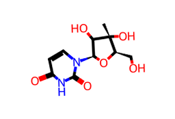 C[C@]1(O)C(O)[C@H](n2ccc(=O)[nH]c2=O)O[C@@H]1CO